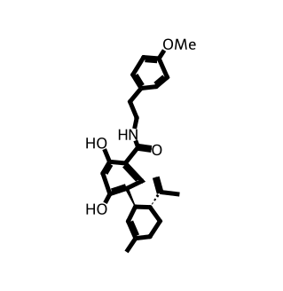 C=C(C)[C@@H]1CCC(C)=C[C@H]1c1cc(C(=O)NCCc2ccc(OC)cc2)c(O)cc1O